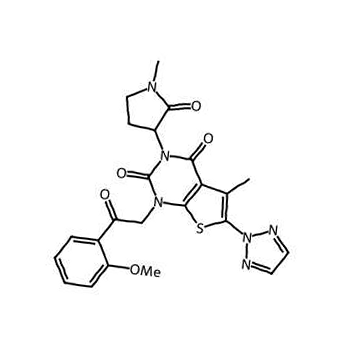 COc1ccccc1C(=O)Cn1c(=O)n(C2CCN(C)C2=O)c(=O)c2c(C)c(-n3nccn3)sc21